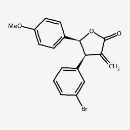 C=C1C(=O)O[C@H](c2ccc(OC)cc2)[C@@H]1c1cccc(Br)c1